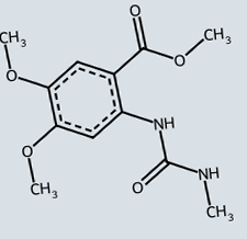 CNC(=O)Nc1cc(OC)c(OC)cc1C(=O)OC